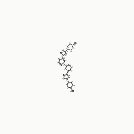 Brc1ccc(-c2nnc(-c3ccnc(-c4cc(-c5nnc(-c6ccc(Br)cc6)o5)ccn4)c3)o2)cc1